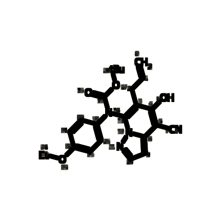 C=CCc1c(O)c(C#N)c2ccnn2c1N(C(=O)OC(C)(C)C)c1ccc(OCC)cc1